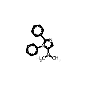 CN(C)c1cnc(-c2ccccc2)n1-c1ccccc1